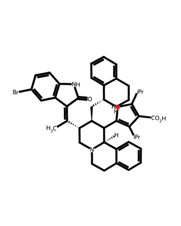 CC(=C1C(=O)Nc2ccc(Br)cc21)[C@H]1CN2CCc3ccccc3[C@@H]2C(c2[nH]c(C(C)C)c(C(=O)O)c2C(C)C)[C@@H]1C[C@H]1NCCc2ccccc21